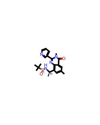 Cc1cc([C@@H](C)N[S@+]([O-])C(C)(C)C)c2nc(-c3cccnc3)n(C)c(=O)c2c1